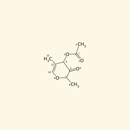 CC(=O)OC1C(=O)C(C)OC=C1C